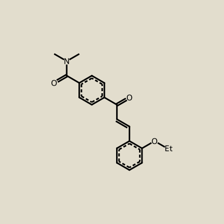 CCOc1ccccc1C=CC(=O)c1ccc(C(=O)N(C)C)cc1